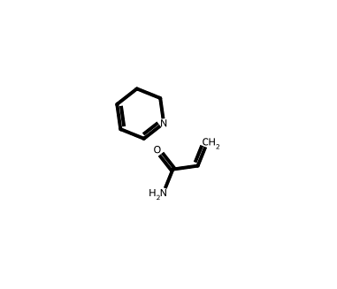 C1=CCCN=C1.C=CC(N)=O